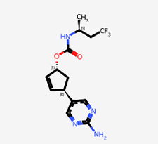 C[C@@H](CC(F)(F)F)NC(=O)O[C@H]1C=C[C@H](c2cnc(N)nc2)C1